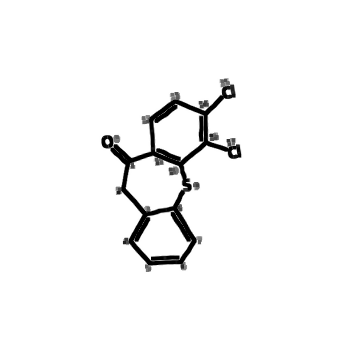 O=C1Cc2ccccc2Sc2c1ccc(Cl)c2Cl